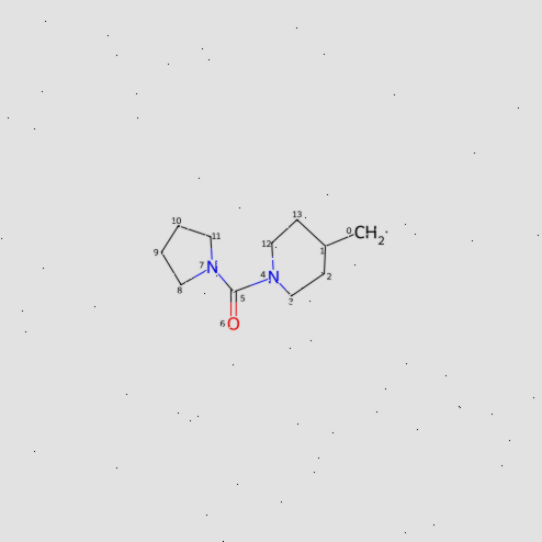 [CH2]C1CCN(C(=O)N2CCCC2)CC1